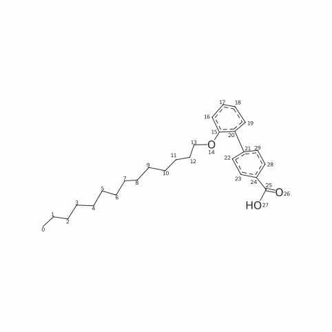 CCCCCCCCCCCCCCOc1ccccc1-c1ccc(C(=O)O)cc1